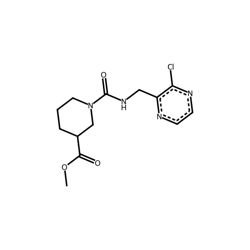 COC(=O)C1CCCN(C(=O)NCc2nccnc2Cl)C1